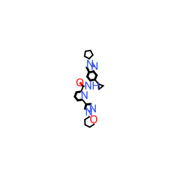 O=C(Nc1cc2cn(C3CCCC3)nc2cc1C1CC1)c1cccc(-c2cnn(C3CCCCO3)c2)n1